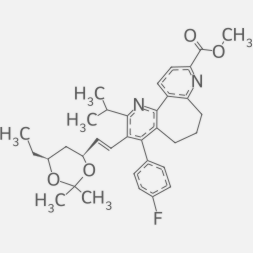 CC[C@H]1C[C@@H](/C=C/c2c(C(C)C)nc3c(c2-c2ccc(F)cc2)CCCc2nc(C(=O)OC)ccc2-3)OC(C)(C)O1